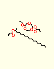 C=CC(=O)OC(C)CCCCCCCCCCCCCCC.C=CC(=O)OC1COCC(OCC)OCCO1